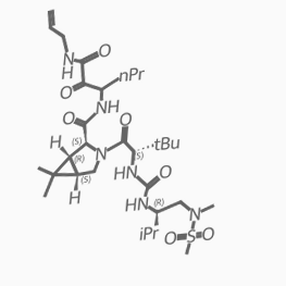 C=CCNC(=O)C(=O)C(CCC)NC(=O)[C@@H]1[C@@H]2[C@H](CN1C(=O)[C@@H](NC(=O)N[C@@H](CN(C)S(C)(=O)=O)C(C)C)C(C)(C)C)C2(C)C